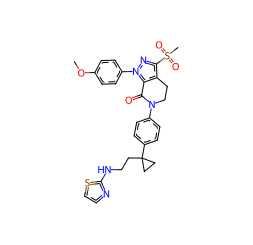 COc1ccc(-n2nc(S(C)(=O)=O)c3c2C(=O)N(c2ccc(C4(CCNc5nccs5)CC4)cc2)CC3)cc1